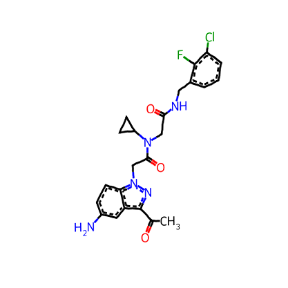 CC(=O)c1nn(CC(=O)N(CC(=O)NCc2cccc(Cl)c2F)C2CC2)c2ccc(N)cc12